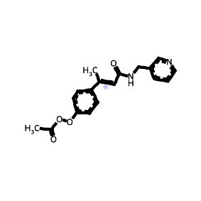 CC(=O)OOc1ccc(/C(C)=C/C(=O)NCc2cccnc2)cc1